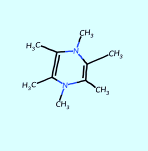 CC1=C(C)N(C)C(C)=C(C)N1C